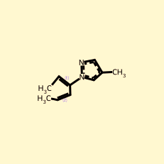 C/C=C\C(=C/C)n1cc(C)cn1